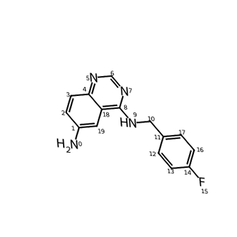 Nc1ccc2ncnc(NCc3ccc(F)cc3)c2c1